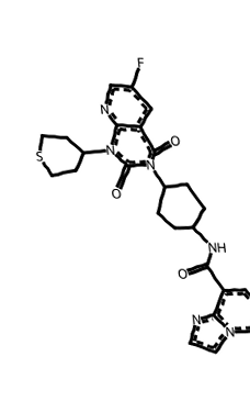 O=C(NC1CCC(n2c(=O)c3cc(F)cnc3n(C3CCSCC3)c2=O)CC1)c1cccn2ccnc12